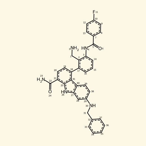 NCc1c(NC(=O)c2ccc(F)cc2)cccc1-c1ccc(C(N)=O)c2[nH]c3cc(NCc4ccccc4)ccc3c12